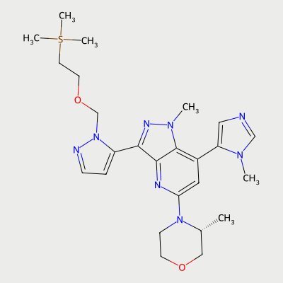 C[C@@H]1COCCN1c1cc(-c2cncn2C)c2c(n1)c(-c1ccnn1COCCS(C)(C)C)nn2C